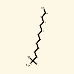 FC(F)(F)C(F)(F)CCCCCCCCCCCBr